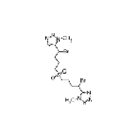 Cn1nnnc1C(Br)CCCS(=O)(=O)CCCC(Br)c1nnnn1C